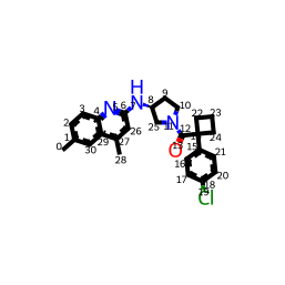 Cc1ccc2nc(N[C@H]3CCN(C(=O)C4(c5ccc(Cl)cc5)CCC4)C3)cc(C)c2c1